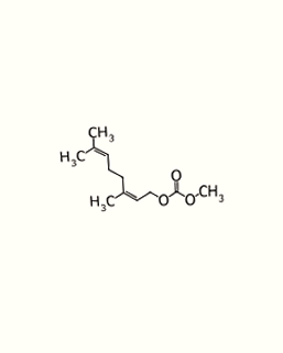 COC(=O)OC/C=C(/C)CCC=C(C)C